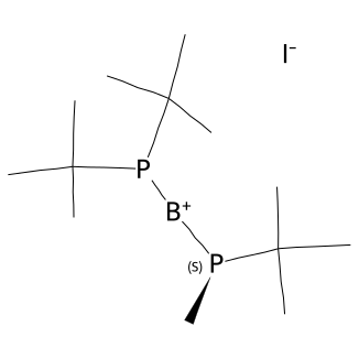 C[P@@]([B+]P(C(C)(C)C)C(C)(C)C)C(C)(C)C.[I-]